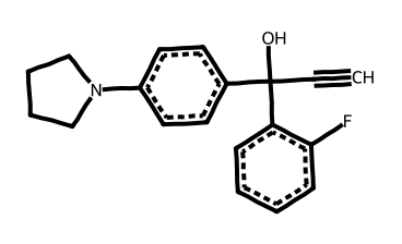 C#CC(O)(c1ccc(N2CCCC2)cc1)c1ccccc1F